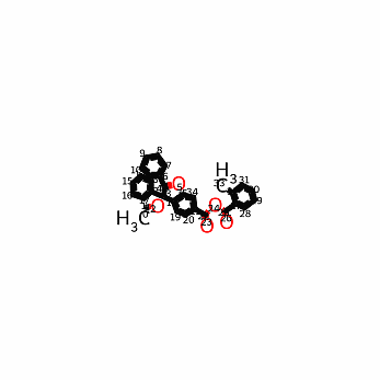 CCOC(C(=O)c1ccccc1)(c1ccccc1)c1ccc(C(=O)OC(=O)c2ccccc2C)cc1